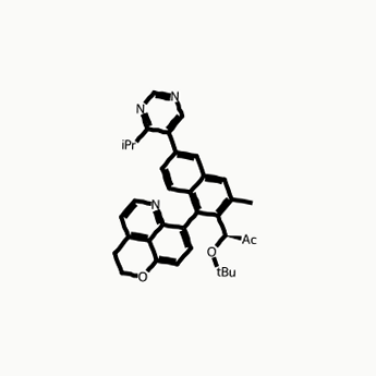 CC(=O)[C@@H](OC(C)(C)C)c1c(C)cc2cc(-c3cncnc3C(C)C)ccc2c1-c1ccc2c3c(ccnc13)CCO2